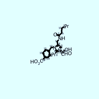 CCCc1nnc(CNC(=O)CCC(C)C)n1Cc1ccc(C(=O)O)cc1.O=CNO